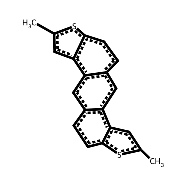 Cc1cc2c(ccc3cc4c(ccc5sc(C)cc54)cc32)s1